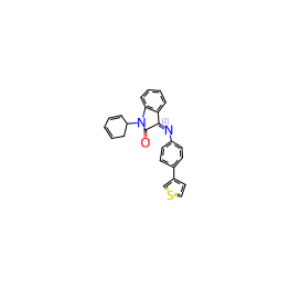 O=C1/C(=N\c2ccc(-c3ccsc3)cc2)c2ccccc2N1C1C=CC=CC1